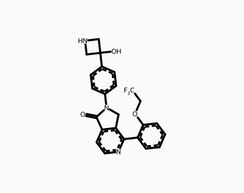 O=C1c2ccnc(-c3ccccc3OCC(F)(F)F)c2CN1c1ccc(C2(O)CNC2)cc1